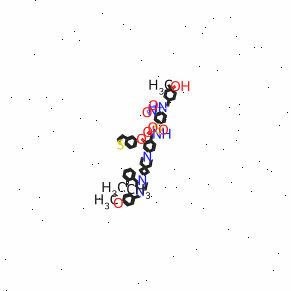 COc1ccc(CN2CCN(C3CC4(CCN(c5ccc(C(=O)NS(=O)(=O)c6ccc(NCC7CCC(C)(O)CC7)c([N+](=O)[O-])c6)c(Oc6ccc7sccc7c6)c5)CC4)C3)C(c3ccccc3C(C)C)C2)cc1